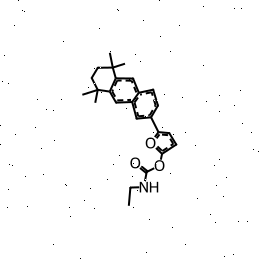 CCNC(=O)Oc1ccc(-c2ccc3cc4c(cc3c2)C(C)(C)CCC4(C)C)o1